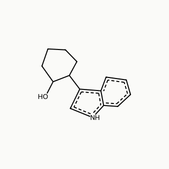 OC1CCCCC1c1c[nH]c2ccccc12